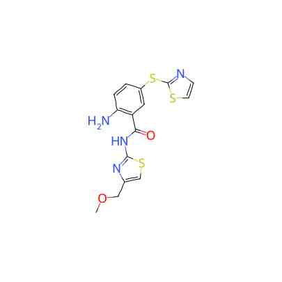 COCc1csc(NC(=O)c2cc(Sc3nccs3)ccc2N)n1